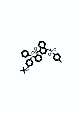 Cc1ccc(S(=O)(=O)Oc2ccc(S(=O)(=O)OS(c3ccccc3)(c3ccccc3)c3ccc(OC(C)(C)C)cc3)c3ccccc23)cc1